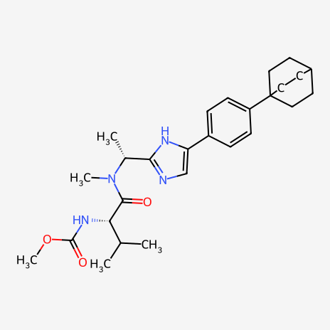 COC(=O)N[C@H](C(=O)N(C)[C@H](C)c1ncc(-c2ccc(C34CCC(CC3)CC4)cc2)[nH]1)C(C)C